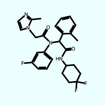 Cc1ccccc1C(C(=O)NC1CCC(F)(F)CC1)N(C(=O)Cn1ccnc1C)c1cccc(F)c1